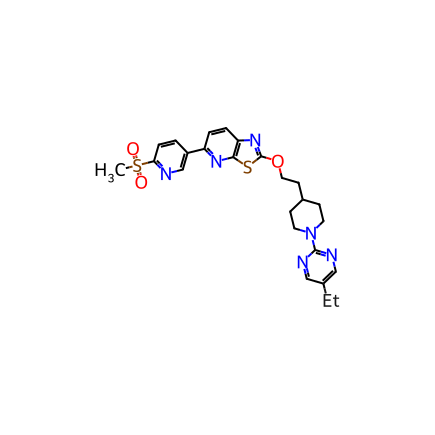 CCc1cnc(N2CCC(CCOc3nc4ccc(-c5ccc(S(C)(=O)=O)nc5)nc4s3)CC2)nc1